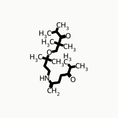 C=C(CCC(=O)C(C)C)NCCC(C)(C)OCC(C)(C)C(=O)C(C)C